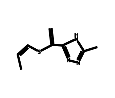 C=C(S/C=C\C)c1nnc(C)[nH]1